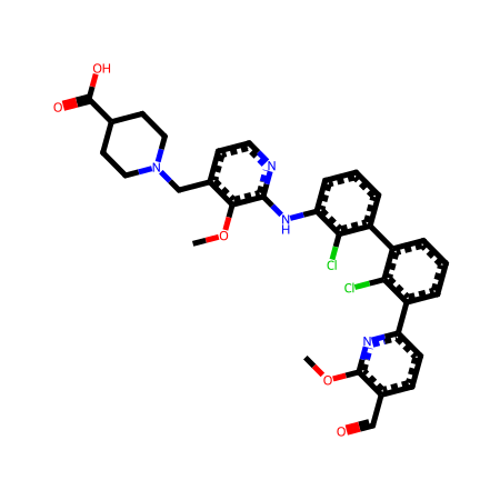 COc1nc(-c2cccc(-c3cccc(Nc4nccc(CN5CCC(C(=O)O)CC5)c4OC)c3Cl)c2Cl)ccc1C=O